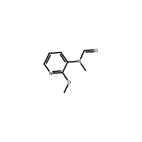 COc1nc[c]cc1N(C)C=O